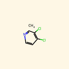 C.Clc1ccncc1Cl